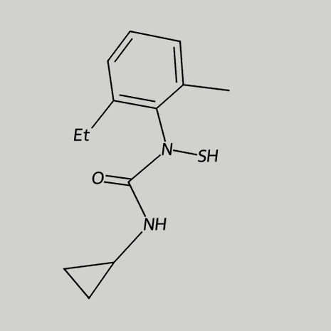 CCc1cccc(C)c1N(S)C(=O)NC1CC1